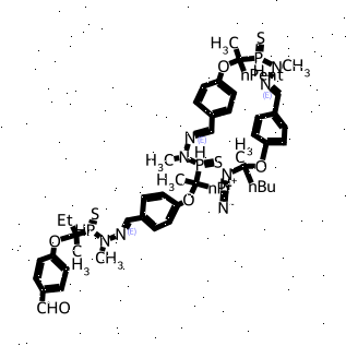 CCCCCC(C)(Oc1ccc(/C=N/N(C)[PH](=S)C(C)(CCC)Oc2ccc(/C=N/N(C)[PH](=S)C(C)(CC)Oc3ccc(C=O)cc3)cc2)cc1)[PH](=S)N(C)/N=C/c1ccc(OC(C)(CCCC)N=[N+]=[N-])cc1